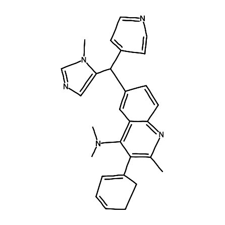 Cc1nc2ccc(C(c3ccncc3)c3cncn3C)cc2c(N(C)C)c1C1=CC=CCC1